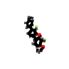 CCCC1CC=C(c2ccc3c(oc4c(F)c(OC(F)(F)F)ccc43)c2F)CC1